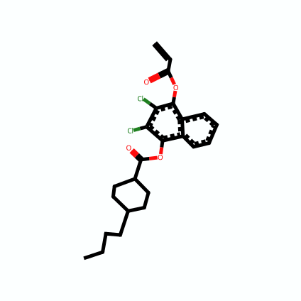 C=CC(=O)Oc1c(Cl)c(Cl)c(OC(=O)C2CCC(CCCC)CC2)c2ccccc12